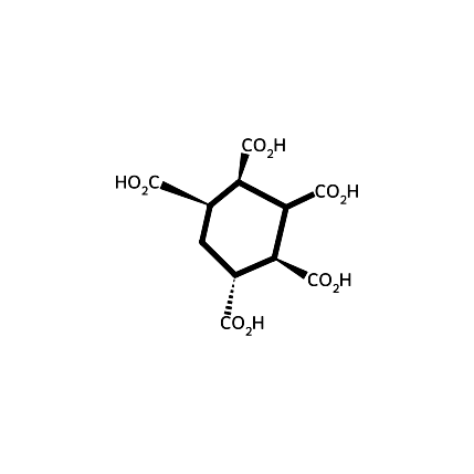 O=C(O)C1[C@@H](C(=O)O)[C@H](C(=O)O)C[C@@H](C(=O)O)[C@H]1C(=O)O